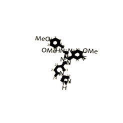 COc1ccc(CNc2nc3cc(OC)c(F)cc3c3nc(C4CCC(C)N(c5cn[nH]c5)C4)nn23)c(OC)c1